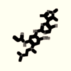 C=CC(=O)Nc1cc(Nc2ncc(Cl)c(-c3c(C)nn(C)c3C)n2)c(OC)cc1N(C)CCN(C)C